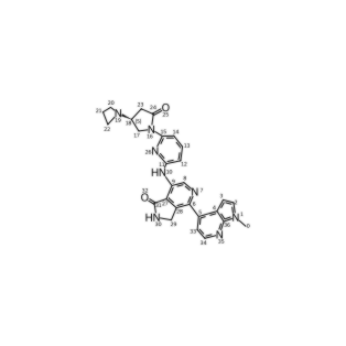 Cn1ccc2c(-c3ncc(Nc4cccc(N5C[C@@H](N6CCC6)CC5=O)n4)c4c3CNC4=O)ccnc21